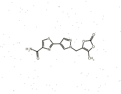 Cc1oc(=O)oc1Cn1cc(-c2nc(C(N)=O)cs2)cn1